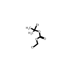 CCC(C)(C)OC(=O)OCCl